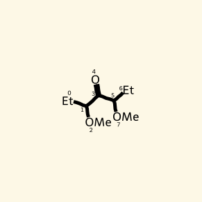 CCC(OC)C(=O)C(CC)OC